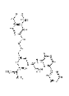 CN(C)C(=O)CN(CCCCc1ccc2c(n1)NCCC2)CCC(Nc1cc(-c2ccccc2)ccn1)C(=O)O